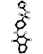 O=C1C(Cl)=C(Nc2ccc(S(=O)(=O)Nc3nccs3)cc2)C(=O)c2ccccc21